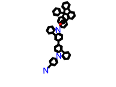 N#Cc1ccc(-n2c3ccccc3c3cc(-c4ccc5c(c4)c4ccccc4n5-c4ccc(-c5cccc6c5C(c5ccccc5)(c5ccccc5)c5ccccc5-6)cc4)ccc32)cc1